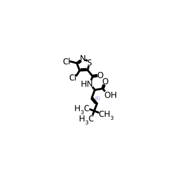 CC(C)(C)/C=C/C(NC(=O)c1snc(Cl)c1Cl)C(=O)O